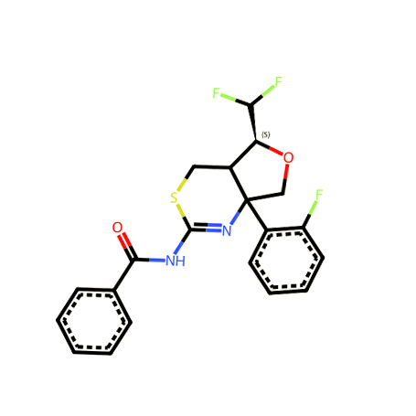 O=C(NC1=NC2(c3ccccc3F)CO[C@H](C(F)F)C2CS1)c1ccccc1